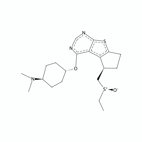 CC[S@+]([O-])C[C@@H]1CCc2sc3ncnc(O[C@H]4CC[C@H](N(C)C)CC4)c3c21